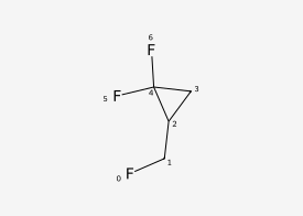 FCC1CC1(F)F